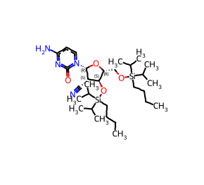 CCCC[Si](OC[C@H]1O[C@@H](n2ccc(N)nc2=O)[C@@H](C#N)[C@@H]1O[Si](CCCC)(C(C)C)C(C)C)(C(C)C)C(C)C